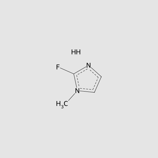 Cn1ccnc1F.[HH]